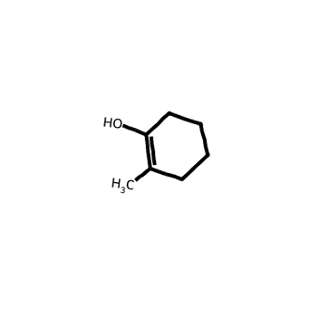 CC1=C(O)CCCC1